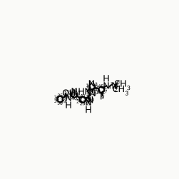 CN(C)CCNc1cc(F)cc(-c2cncc3[nH]c(-c4n[nH]c5ccc(-c6cncc(NC(O)C7CCCCC7)c6)cc45)nc23)c1